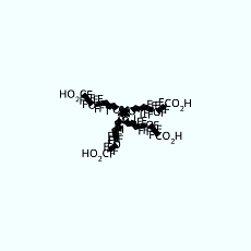 O=C(O)C(F)(F)C(F)(F)OC(F)(F)C(F)(F)CC(I)COCC(COCC(I)CC(F)(F)C(F)(F)OC(F)(F)C(F)(F)C(=O)O)(COCC(I)CC(F)(F)C(F)(F)OC(F)(F)C(F)(F)C(=O)O)COCC(I)CC(F)(F)C(F)(F)OC(F)(F)C(F)(F)C(=O)O